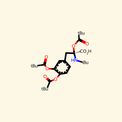 CCC(C)N[C@@](Cc1ccc(OC(=O)C(C)(C)C)c(OC(=O)C(C)(C)C)c1)(OC(=O)C(C)(C)C)C(=O)O